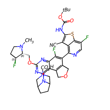 CN1CC[C@H](F)[C@H]1COc1nc(N2C3CCC2CN(C(=O)O)C3)c2c3c(c(-c4ncc(F)c5sc(NC(=O)OC(C)(C)C)c(C#N)c45)c(F)c2n1)COC3